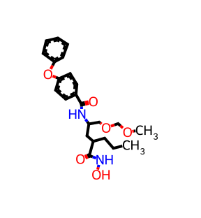 CCCC(CC(COCOC)NC(=O)c1ccc(Oc2ccccc2)cc1)C(=O)NO